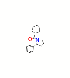 O=C(C1CCCCC1)N1CCCC1c1ccccc1